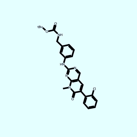 Cn1c(=O)c(-c2ccccc2Cl)cc2cnc(Nc3cccc(CNC(=O)OC(C)(C)C)c3)nc21